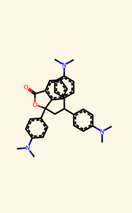 CN(C)c1ccc(C(CC2(c3ccc(N(C)C)cc3)OC(=O)c3ccccc32)c2ccc(N(C)C)cc2)cc1